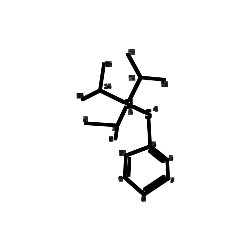 CC(C)[Si](Sc1ccccc1)(C(C)C)C(C)C